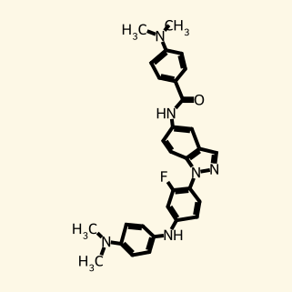 CN(C)c1ccc(Nc2ccc(-n3ncc4cc(NC(=O)c5ccc(N(C)C)cc5)ccc43)c(F)c2)cc1